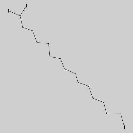 ICCCCCCCCCCCCCCC(I)I